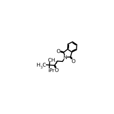 CC(C)C(C)(C)C(=O)CCN1C(=O)c2ccccc2C1=O